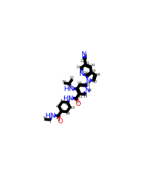 CCNC(=O)C1CCC(NC(=O)c2cnc(-n3ccc4cc(C#N)cnc43)cc2NC(C)C)CC1